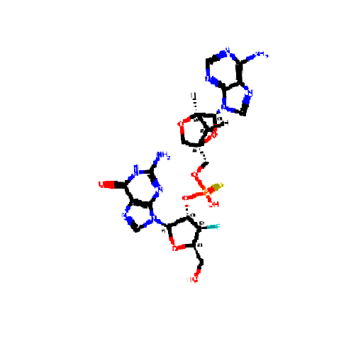 C[C@H]1[C@H]2OC[C@]1(COP(O)(=S)O[C@@H]1[C@@H](F)[C@@H](CO)O[C@H]1n1cnc3c(=O)[nH]c(N)nc31)O[C@H]2n1cnc2c(N)ncnc21